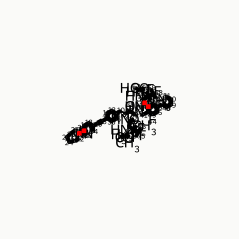 COC(=O)N[C@H](C(=O)N[C@@H](Cc1ccc(C#Cc2ccc(N3CC4CCC(C3)N4C3COC3)nc2)cc1)[C@@H](O)CN(Cc1c(F)cc(-c2ccccn2)cc1F)NC(=O)[C@@H](NC(=O)O)C(C)(C)C(F)(F)F)C(C)(C)C(F)(F)F